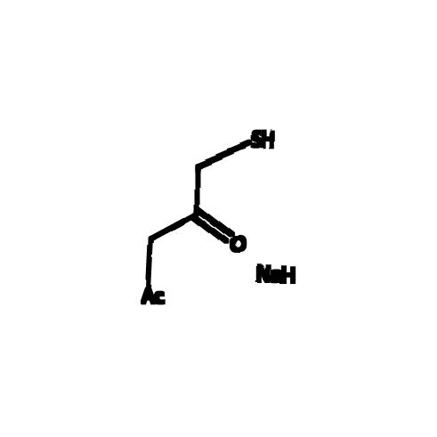 CC(=O)CC(=O)CS.[NaH]